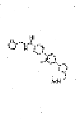 CC(=O)NCC1CCC(c2ccc(-c3ccc(C(=N)NCc4ccco4)cc3)c(F)c2)C1